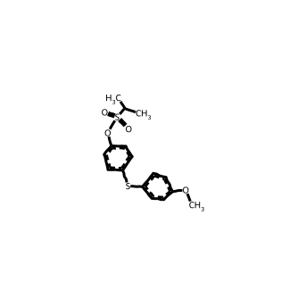 COc1ccc(Sc2ccc(OS(=O)(=O)C(C)C)cc2)cc1